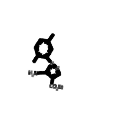 CCOC(=O)c1cnn(-c2cc(C)ccc2C)c1N